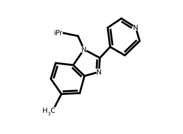 Cc1ccc2c(c1)nc(-c1ccncc1)n2CC(C)C